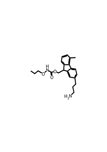 CCCONC(=O)OCC1c2cc(CCCN)ccc2-c2c(C)cccc21